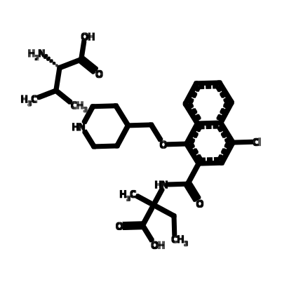 CC(C)[C@H](N)C(=O)O.CCC(C)(NC(=O)c1cc(Cl)c2ccccc2c1OCC1CCNCC1)C(=O)O